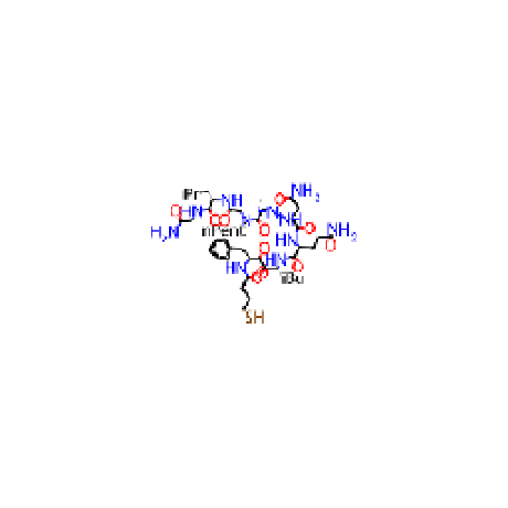 CCCCCN(CC(=O)N[C@@H](CC(C)C)C(=O)NCC(N)=O)C(=O)[C@H](C)NN[C@@H](CC(N)=O)C(=O)N[C@@H](CCC(N)=O)C(=O)NC(C(=O)C(=O)[C@H](Cc1ccccc1)NC(=O)CCCS)[C@@H](C)CC